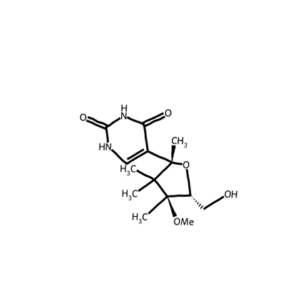 CO[C@]1(C)[C@@H](CO)O[C@@](C)(c2c[nH]c(=O)[nH]c2=O)C1(C)C